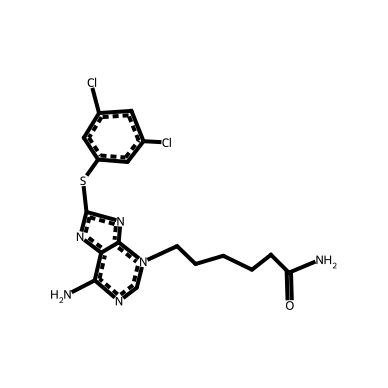 NC(=O)CCCCCn1cnc(N)c2nc(Sc3cc(Cl)cc(Cl)c3)nc1-2